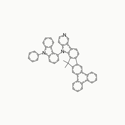 CC1(C)c2cc3c4ccccc4c4ccccc4c3cc2-c2ccc3c4cnccc4n(-c4cccc5c4c4ccccc4n5-c4ccccc4)c3c21